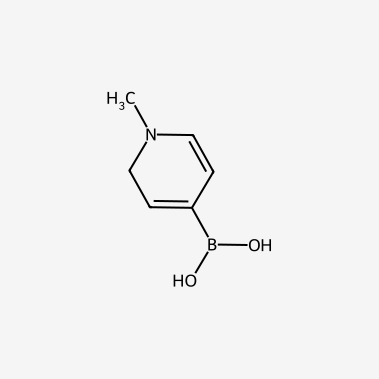 CN1C=CC(B(O)O)=CC1